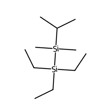 CC[Si](CC)(CC)[Si](C)(C)C(C)C